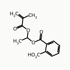 C=C(C)C(=O)OC(C)OC(=O)c1ccccc1C(=O)O